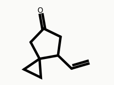 C=CC1CC(=O)CC12CC2